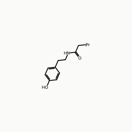 CC(C)CC(=O)NCCc1ccc(O)cc1